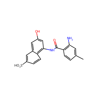 Cc1ccc(C(=O)Nc2cc(O)cc3cc(S(=O)(=O)O)ccc23)c(N)c1